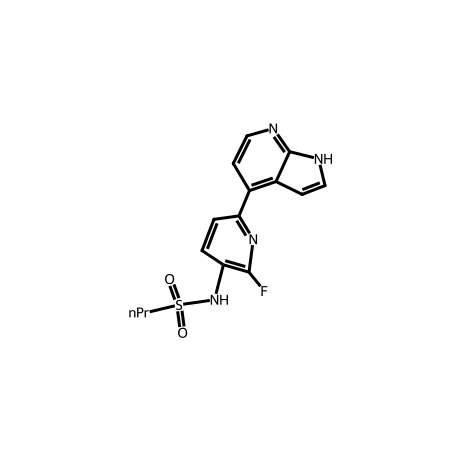 CCCS(=O)(=O)Nc1ccc(-c2ccnc3[nH]ccc23)nc1F